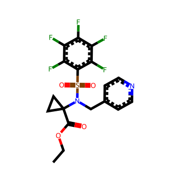 CCOC(=O)C1(N(Cc2ccncc2)S(=O)(=O)c2c(F)c(F)c(F)c(F)c2F)CC1